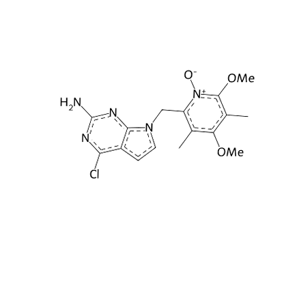 COc1c(C)c(Cn2ccc3c(Cl)nc(N)nc32)[n+]([O-])c(OC)c1C